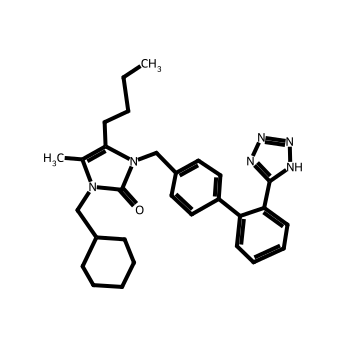 CCCCc1c(C)n(CC2CCCCC2)c(=O)n1Cc1ccc(-c2ccccc2-c2nnn[nH]2)cc1